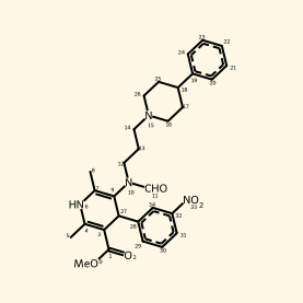 COC(=O)C1=C(C)NC(C)=C(N(C=O)CCCN2CCC(c3ccccc3)CC2)C1c1cccc([N+](=O)[O-])c1